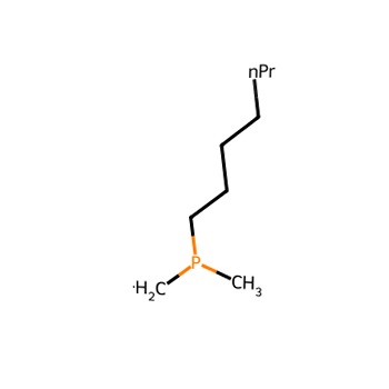 [CH2]P(C)CCCCCCC